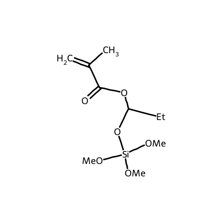 C=C(C)C(=O)OC(CC)O[Si](OC)(OC)OC